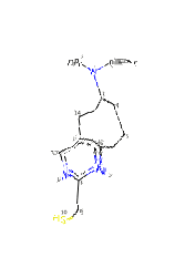 CCCN(CCC)C1CCc2nc(CS)ncc2C1